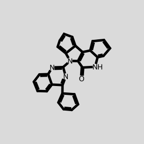 O=c1[nH]c2ccccc2c2c3ccccc3n(-c3nc(-c4ccccc4)c4ccccc4n3)c12